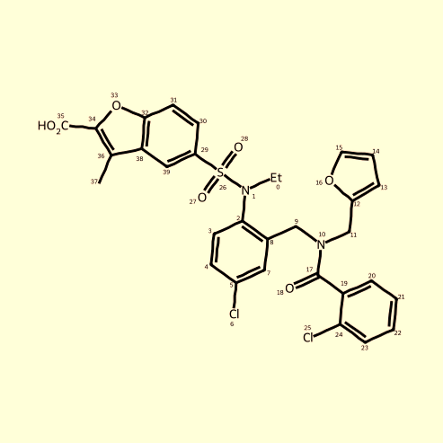 CCN(c1ccc(Cl)cc1CN(Cc1ccco1)C(=O)c1ccccc1Cl)S(=O)(=O)c1ccc2oc(C(=O)O)c(C)c2c1